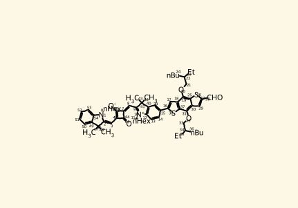 CCCCCCN1/C(=C\C2=C([O-])C(=C/C3=[N+](CCCCCC)c4ccc(-c5cc6c(OCC(CC)CCCC)c7sc(C=O)cc7c(OCC(CC)CCCC)c6s5)cc4C3(C)C)/C2=O)C(C)(C)c2ccccc21